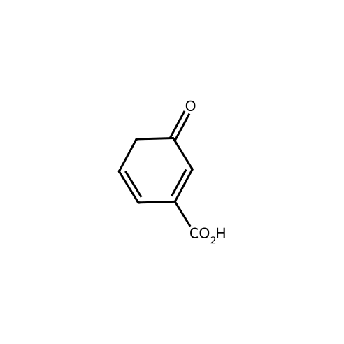 O=C1C=C(C(=O)O)C=CC1